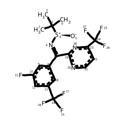 CC(C)(C)[S@@+]([O-])N=C(c1cc(F)cc(C(F)(F)F)c1)c1nccc(C(F)(F)F)n1